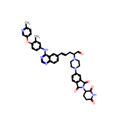 Cc1ccc(Oc2ccc(Nc3ncnc4ccc(/C=C/CC(C=O)N5CCN(c6ccc7c(c6)C(=O)N(C6CCC(=O)NC6=O)C7=O)CC5)cc34)cc2C)cn1